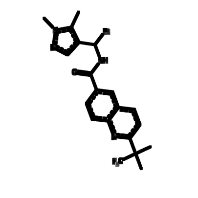 CCC(NC(=O)c1ccc2nc(C(C)(C)C(F)(F)F)ccc2c1)c1cnn(C)c1C